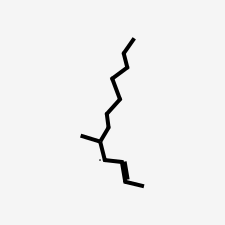 CC=C[CH]C(C)CCCCCCC